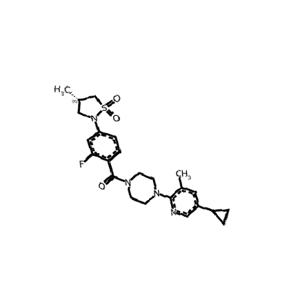 Cc1cc(C2CC2)cnc1N1CCN(C(=O)c2ccc(N3C[C@H](C)CS3(=O)=O)cc2F)CC1